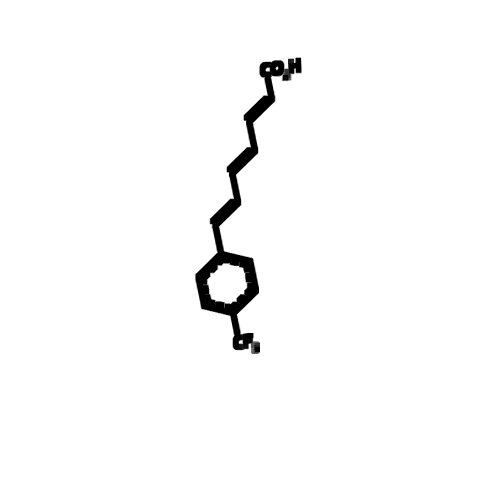 O=C(O)C=CC=CC=Cc1ccc(C(F)(F)F)cc1